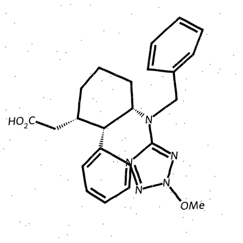 COn1nnc(N(Cc2ccccc2)[C@H]2CCC[C@@H](CC(=O)O)[C@H]2c2ccccc2)n1